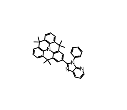 CC1(C)c2cccc3c2N2c4c1cccc4C(C)(C)c1cc(-c4nc5cccnc5n4-c4ccccc4)cc(c12)C3(C)C